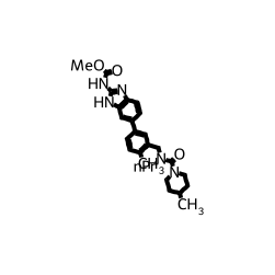 CCCN(Cc1cc(-c2ccc3nc(NC(=O)OC)[nH]c3c2)ccc1C)C(=O)N1CCC(C)CC1